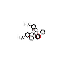 Cc1ccc(CC(C(=O)C(Cc2ccc(C)cc2)(c2ccccc2)c2ccccc2)(c2ccccc2)c2ccccc2)cc1